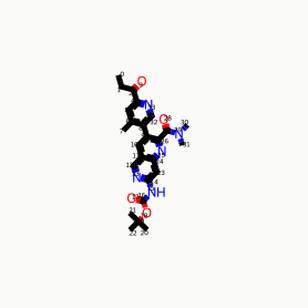 CCC(=O)c1cc(C)c(-c2cc3cnc(NC(=O)OC(C)(C)C)cc3nc2C(=O)N(C)C)cn1